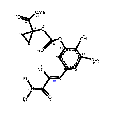 CCN(CC)C(=O)/C(C#N)=C/c1cc(OC(=O)OC2(C(=O)OC)CC2)c(O)c([N+](=O)[O-])c1